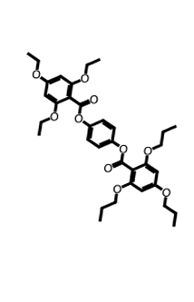 CCCOc1cc(OCCC)c(C(=O)Oc2ccc(OC(=O)c3c(OCC)cc(OCC)cc3OCC)cc2)c(OCCC)c1